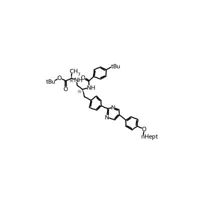 CCCCCCCOc1ccc(-c2cnc(-c3ccc(C[C@@H](CN[C@H](C)C(=O)OC(C)(C)C)NC(=O)c4ccc(C(C)(C)C)cc4)cc3)nc2)cc1